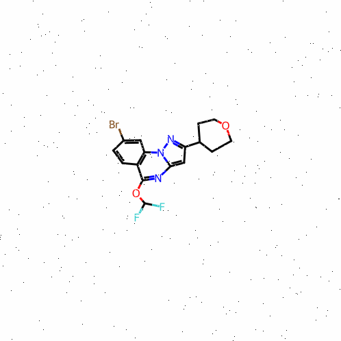 FC(F)Oc1nc2cc(C3CCOCC3)nn2c2cc(Br)ccc12